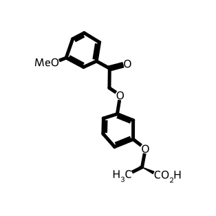 COc1cccc(C(=O)COc2cccc(O[C@H](C)C(=O)O)c2)c1